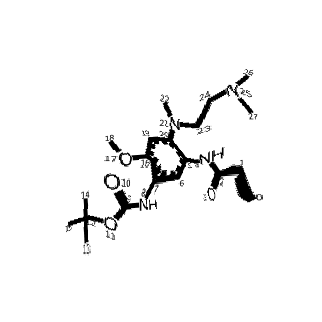 C=CC(=O)Nc1cc(NC(=O)OC(C)(C)C)c(OC)cc1N(C)CCN(C)C